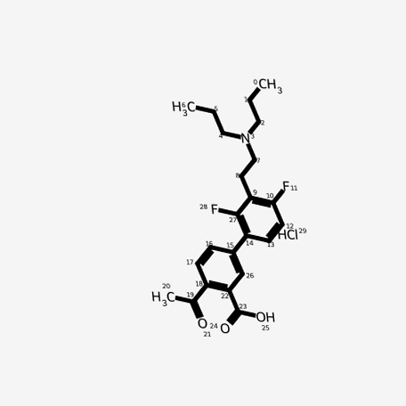 CCCN(CCC)CCc1c(F)ccc(-c2ccc(C(C)=O)c(C(=O)O)c2)c1F.Cl